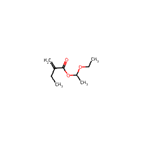 C=C(CC)C(=O)OC(C)OCC